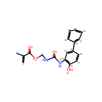 C=C(C)C(=O)OCNC(=O)Nc1cc(-c2ccccc2)ccc1O